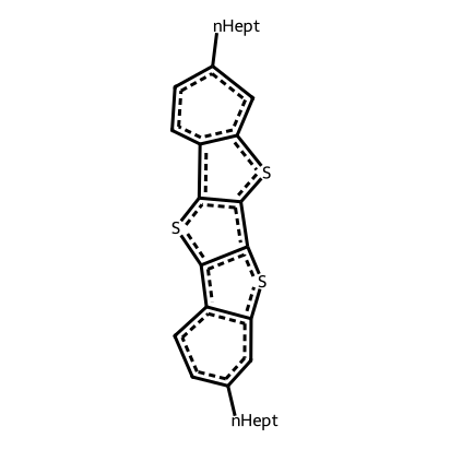 CCCCCCCc1ccc2c(c1)sc1c2sc2c3ccc(CCCCCCC)cc3sc21